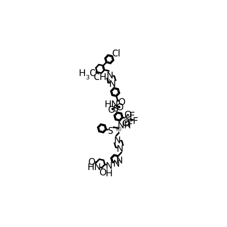 CC1(C)CCC(c2ccc(Cl)cc2)=C(CN2CCN(c3ccc(C(=O)NS(=O)(=O)c4ccc(N[C@H](CCN5CCN(Cc6ccc(NC7CCC(=O)NC7=O)nn6)CC5)CSc5ccccc5)c(S(=O)(=O)C(F)(F)F)c4)cc3)CC2)C1